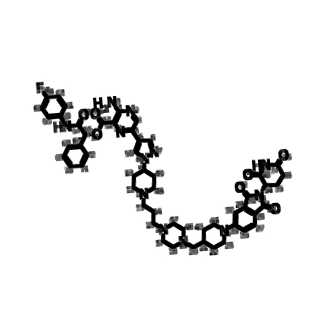 Nc1ncc(-c2cnn(C3CCN(CCCN4CCN(CC5CCN(c6ccc7c(c6)C(=O)N(C6CCC(=O)NC6=O)C7=O)CC5)CC4)CC3)c2)nc1C(=O)O[C@@H](C(=O)Nc1ccc(F)cc1)c1ccccc1